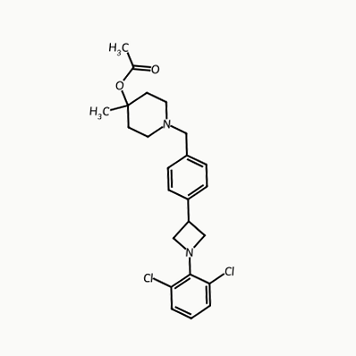 CC(=O)OC1(C)CCN(Cc2ccc(C3CN(c4c(Cl)cccc4Cl)C3)cc2)CC1